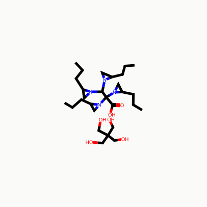 CCCC1CN1C(N1CC1CCC)C(C(=O)O)(N1CC1CCC)N1CC1CCC.OCC(CO)(CO)CO